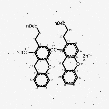 CCCCCCCCCCCCc1ccc2c(c1C(=O)[O-])Cc1ccccc1O2.CCCCCCCCCCCCc1ccc2c(c1C(=O)[O-])Cc1ccccc1O2.[Zn+2]